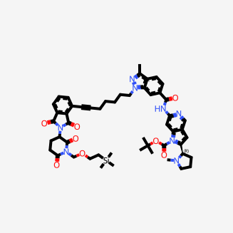 Cc1nn(CCCCCC#Cc2cccc3c2C(=O)N(C2CCC(=O)N(COCC[Si](C)(C)C)C2=O)C3=O)c2cc(C(=O)Nc3cc4c(cn3)cc([C@H]3CCCN3C)n4C(=O)OC(C)(C)C)ccc12